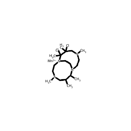 CC1CN(C)CCN2CCN(CCN(C)CC(C)(Cl)C2(C)Cl)C1C.[Mn+2]